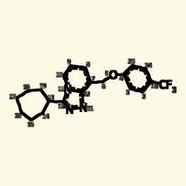 FC(F)(F)c1ccc(OCc2cccn3c(C4CCCCCC4)nnc23)cc1